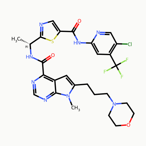 C[C@@H](NC(=O)c1ncnc2c1cc(CCCN1CCOCC1)n2C)c1ncc(C(=O)Nc2cc(C(F)(F)F)c(Cl)cn2)s1